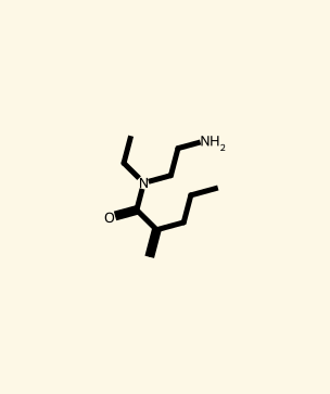 C=C(CCC)C(=O)N(CC)CCN